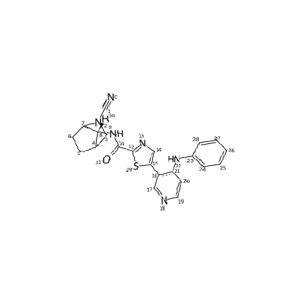 N#CN1CC2CCC1[C@@H]2NC(=O)c1ncc(-c2cnccc2Nc2ccccc2)s1